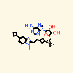 CC(C)[As](C[C@@H]1O[C@@H](n2cnc3c(N)ncnc32)[C@H](O)[C@@H]1O)C1CC(CCc2nc3cc(C4=CC=C4)ccc3[nH]2)C1